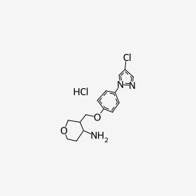 Cl.NC1CCOCC1COc1ccc(-n2cc(Cl)cn2)cc1